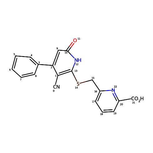 N#Cc1c(-c2ccccc2)cc(=O)[nH]c1SCc1cccc(C(=O)O)n1